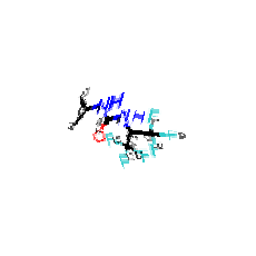 CC(C)NC(=O)NC(C(F)(F)F)C(F)(F)F